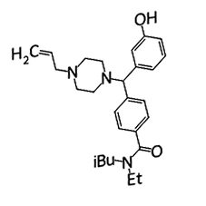 C=CCN1CCN(C(c2ccc(C(=O)N(CC)C(C)CC)cc2)c2cccc(O)c2)CC1